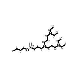 CCCCO[SiH2]CCCN(CCCN(CC)CC)CCCN(CC)CC